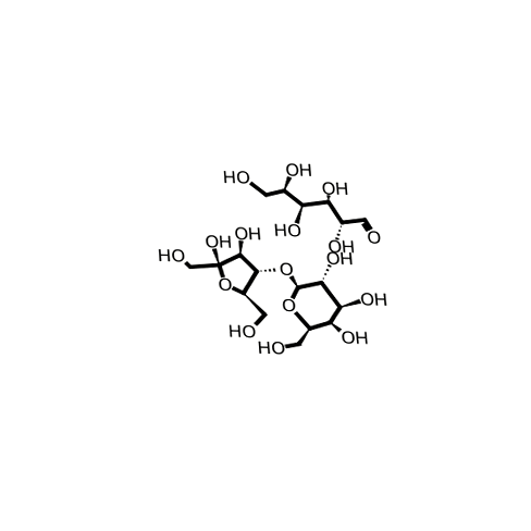 O=C[C@H](O)[C@@H](O)[C@@H](O)[C@H](O)CO.OC[C@H]1O[C@@H](O[C@@H]2[C@@H](CO)O[C@](O)(CO)[C@H]2O)[C@H](O)[C@@H](O)[C@H]1O